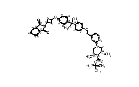 C[C@@H]1CN(c2nccc(COc3ccc(C(C)(C)c4ccc(OC5CC(N6C(=O)c7ccccc7C6=O)C5)cc4)cc3)n2)C[C@H](C)N1C(=O)OC(C)(C)C